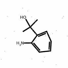 CC(C)(O)c1ccccc1N